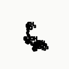 COC(=O)CCCC#CC(O)C1C(=O)C=CC1C=CC(O[Si](C)(C)C(C)(C)C)C1CCCC1